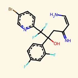 N=C(/C=C\N)CC(O)(c1ccc(F)cc1F)C(F)(F)c1ccc(Br)cn1